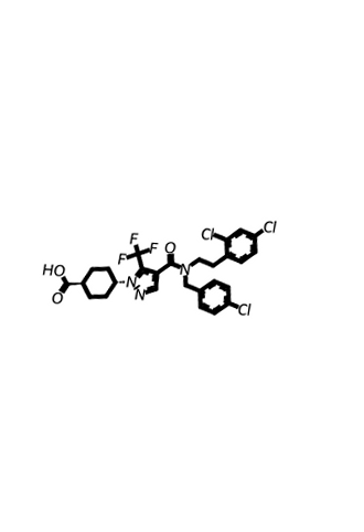 O=C(c1cnn([C@H]2CC[C@H](C(=O)O)CC2)c1C(F)(F)F)N(CCc1ccc(Cl)cc1Cl)Cc1ccc(Cl)cc1